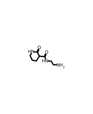 NCCNC(=O)C1CCCNC1=O